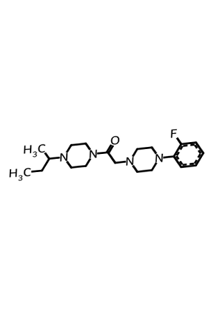 CCC(C)N1CCN(C(=O)CN2CCN(c3ccccc3F)CC2)CC1